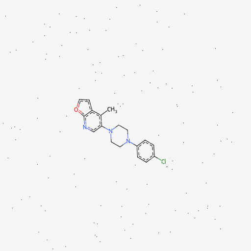 Cc1c(N2CCN(c3ccc(Cl)cc3)CC2)cnc2occc12